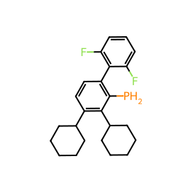 Fc1cccc(F)c1-c1ccc(C2CCCCC2)c(C2CCCCC2)c1P